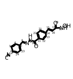 [C-]#[N+]c1ccc(/C=N/NC(=O)c2ccc(/C=C/C(=O)NO)cc2)cc1